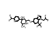 CC1CC(O)(c2ccc(C(F)F)nc2)CC(COc2cc(C(F)(F)F)c3c(c2)ncn3CC(F)F)N1